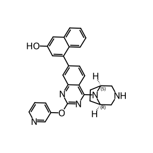 Oc1cc(-c2ccc3c(N4[C@@H]5CC[C@H]4CNC5)nc(Oc4cccnc4)nc3c2)c2ccccc2c1